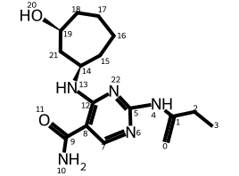 C=C(CC)Nc1ncc(C(N)=O)c(N[C@@H]2CCCC[C@H](O)C2)n1